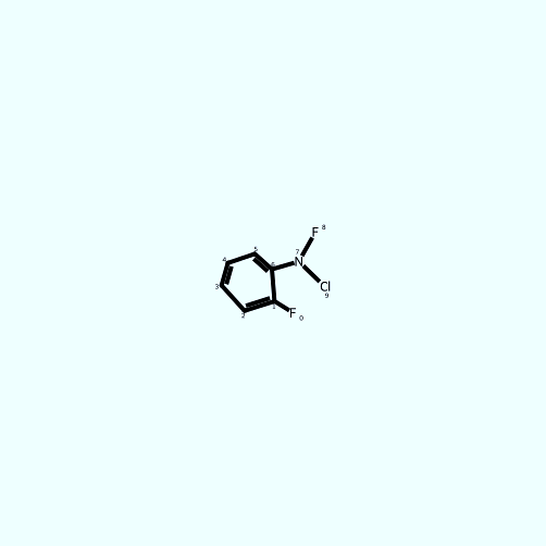 Fc1ccccc1N(F)Cl